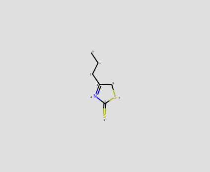 CCCC1=NC(=S)SC1